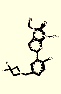 Cn1c(=O)n(CC(C)(C)C)c2ccc(-c3cc(CN4CC(F)(F)C4)ccc3C#N)nc21